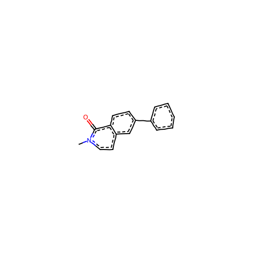 Cn1ccc2cc(-c3ccccc3)ccc2c1=O